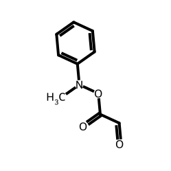 CN(OC(=O)C=O)c1ccccc1